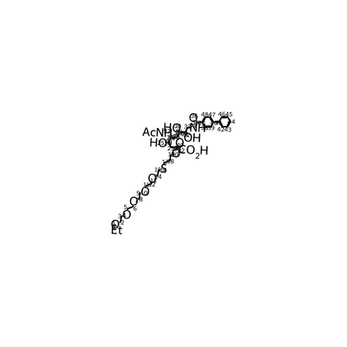 CCOCCOCCOCCOCCOCCSCCCO[C@]1(C(=O)O)C[C@H](O)[C@@H](NC(C)=O)[C@H]([C@H](O)[C@H](O)CNC(=O)c2ccc(-c3ccccc3)cc2)O1